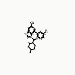 CC1CCC(C(C)n2cnc3cc(C#N)nc(-c4cncc(Cl)c4)c32)CC1